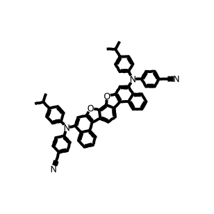 CC(C)c1ccc(N(c2ccc(C#N)cc2)c2cc3oc4c(ccc5c4oc4cc(N(c6ccc(C#N)cc6)c6ccc(C(C)C)cc6)c6ccccc6c45)c3c3ccccc23)cc1